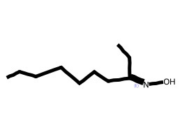 CCCCCCC/C(CC)=N/O